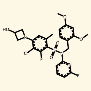 COc1ccc(CN(c2cccc(F)n2)S(=O)(=O)c2c(C)cc(N3CC(O)C3)c(Cl)c2F)c(OC)c1